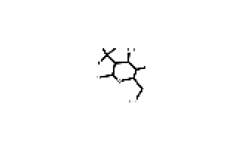 OCC1OC(O)C(C(F)(F)F)C(O)C1O